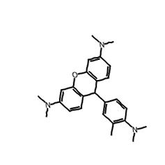 Cc1cc(C2c3ccc(N(C)C)cc3Oc3cc(N(C)C)ccc32)ccc1N(C)C